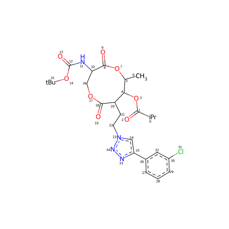 CC(C)C(=O)OC1C(C)OC(=O)C(NC(=O)OC(C)(C)C)COC(=O)C1CCn1cc(-c2cccc(Cl)c2)nn1